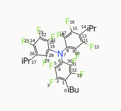 CCC(C)c1c(F)c(F)c(N(c2c(F)c(F)c(C(C)C)c(F)c2F)c2c(F)c(F)c(F)c(C(C)C)c2F)c(F)c1F